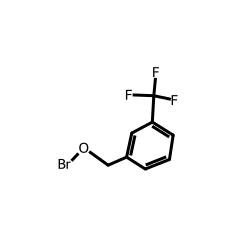 FC(F)(F)c1cccc(COBr)c1